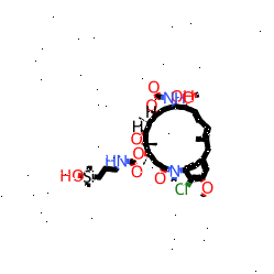 COc1cc2cc(c1Cl)N(C)C(=O)C[C@@](C)(OC(=O)NCCC[Si](C)(C)O)[C@]1(C)O[C@H]1[C@H](C)[C@@H]1C[C@@](O)(NC(=O)O1)[C@H](OC)/C=C/C=C(\C)C2